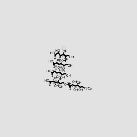 O=C(O)[C@H](O)[C@@H](O)[C@H](O)[C@H](O)CO.O=C(O)[C@H](O)[C@@H](O)[C@H](O)[C@H](O)CO.O=C(O)[C@H](O)[C@@H](O)[C@H](O)[C@H](O)CO.O=C(O)[C@H](O)[C@@H](O)[C@H](O)[C@H](O)CO.O=C(O)[C@H](O)[C@@H](O)[C@H](O)[C@H](O)CO.[Cu].[Cu].[Cu].[Cu]